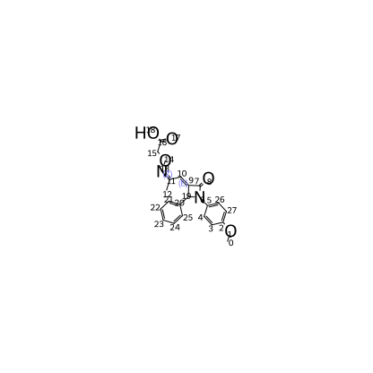 COc1ccc(N2C(=O)/C(=C/C(C)=N\OCC(=O)O)C2c2ccccc2)cc1